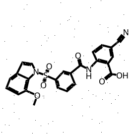 COc1cccc2ccn(S(=O)(=O)c3cccc(C(=O)Nc4ccc(C#N)cc4C(=O)O)c3)c12